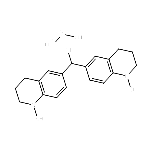 CN1CCCc2cc(C(O)c3ccc4c(c3)CCCN4C)ccc21.COC